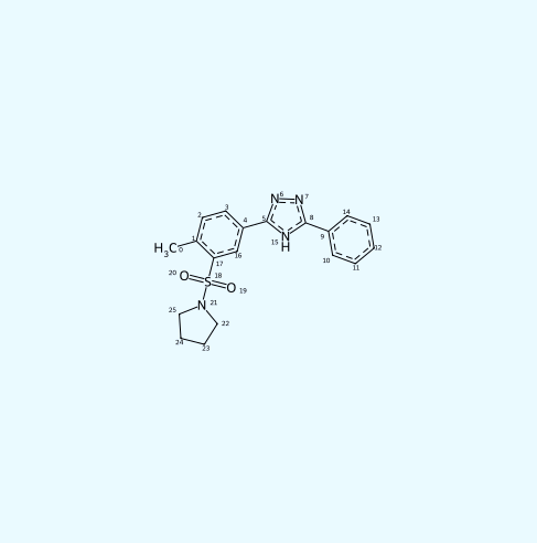 Cc1ccc(-c2nnc(-c3ccccc3)[nH]2)cc1S(=O)(=O)N1CCCC1